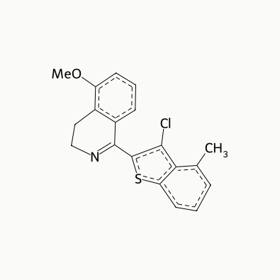 COc1cccc2c1CCN=C2c1sc2cccc(C)c2c1Cl